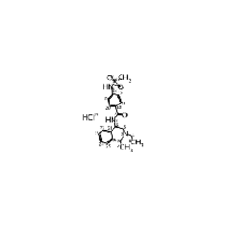 CCN(CC)CC(NC(=O)c1ccc(NS(C)(=O)=O)cc1)c1ccccc1.Cl